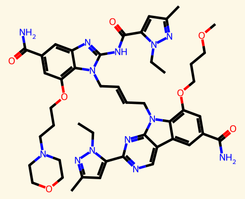 CCn1nc(C)cc1C(=O)Nc1nc2cc(C(N)=O)cc(OCCCN3CCOCC3)c2n1CC=CCn1c2nc(-c3cc(C)nn3CC)ncc2c2cc(C(N)=O)cc(OCCCOC)c21